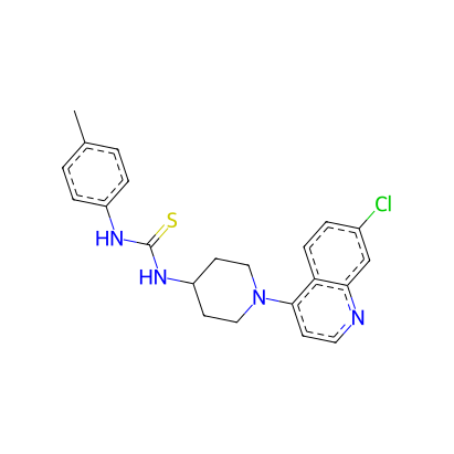 Cc1ccc(NC(=S)NC2CCN(c3ccnc4cc(Cl)ccc34)CC2)cc1